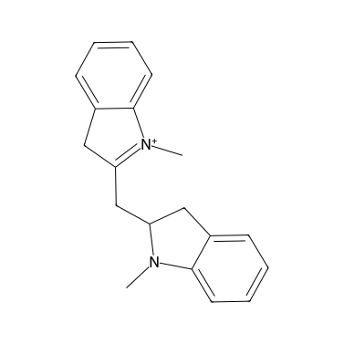 CN1c2ccccc2CC1CC1=[N+](C)c2ccccc2C1